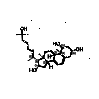 C[C@H](SCCCC(C)(C)O)[C@H]1[C@@H](O)C[C@H]2C3=CC=C4C[C@@H](O)C[C@H](O)[C@]4(C)[C@H]3CC[C@]12C